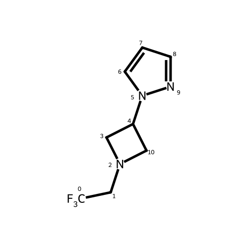 FC(F)(F)CN1CC(n2cccn2)C1